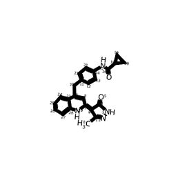 CC1=NNC(=O)C1=C1C=C(Cc2ccc(NC(=O)C3CC3)cc2)c2ccccc2N1